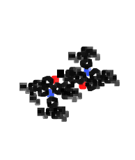 CC(C)(C)c1ccc(N(c2ccc(C(C)(C)C)cc2)c2cc3c(c4oc5ccccc5c24)-c2cc4c(cc2[Si]3(C)C)-c2c(cc(N(c3ccc(C(C)(C)C)cc3)c3ccc(C(C)(C)C)cc3)c3c2oc2ccccc23)[Si]4(C)C)cc1